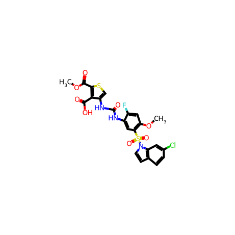 COC(=O)c1scc(NC(=O)Nc2cc(S(=O)(=O)n3ccc4ccc(Cl)cc43)c(OC)cc2F)c1C(=O)O